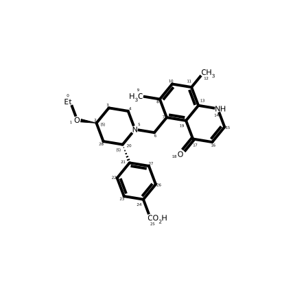 CCO[C@H]1CCN(Cc2c(C)cc(C)c3[nH]ccc(=O)c23)[C@H](c2ccc(C(=O)O)cc2)C1